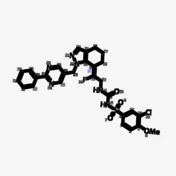 COc1ccc(S(=O)(=O)NC(=O)NC/C(F)=C2\CCCc3cnn(Cc4cnc(-c5ccccc5)nc4)c32)cc1Cl